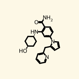 NC(=O)c1ccc(-n2cccc2Cc2ccccn2)cc1N[C@H]1CC[C@H](O)CC1